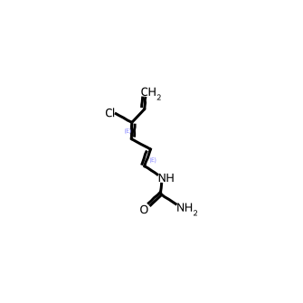 C=C/C(Cl)=C\C=C\NC(N)=O